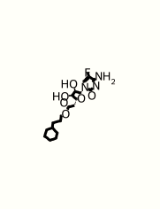 Nc1nc(=O)n([C@@H]2O[C@H](CC(=O)OCCCC3CCCCC3)[C@@H](O)[C@H]2O)cc1F